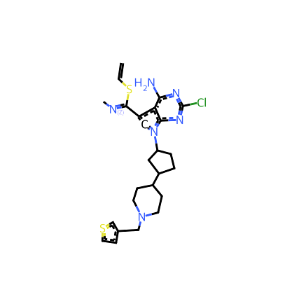 C=CS/C(=N\C)c1cn(C2CCC(C3CCN(Cc4ccsc4)CC3)C2)c2nc(Cl)nc(N)c12